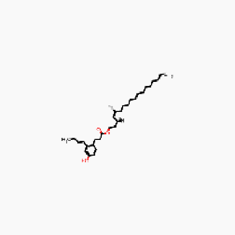 [3H]C(CCCCCCCCCCCCC)CC([3H])CCOC(=O)CCc1ccc(O)cc1CCCC